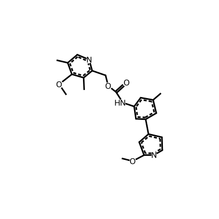 COc1cc(-c2cc(C)cc(NC(=O)OCc3ncc(C)c(OC)c3C)c2)ccn1